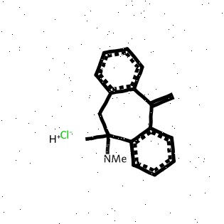 C=C1c2ccccc2CC(C)(NC)c2ccccc21.[Cl-].[H+]